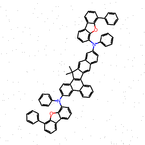 CC1(C)c2cc3cc(N(c4ccccc4)c4cccc5c4oc4c(-c6ccccc6)cccc45)ccc3cc2-c2c1c1ccc(N(c3ccccc3)c3cccc4c3oc3c(-c5ccccc5)cccc34)cc1c1ccccc21